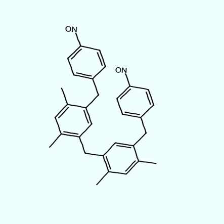 Cc1cc(C)c(Cc2cc(Cc3ccc(N=O)cc3)c(C)cc2C)cc1Cc1ccc(N=O)cc1